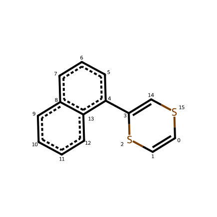 C1=CSC(c2cccc3ccccc23)=CS1